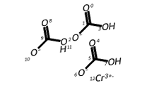 O=C([O-])O.O=C([O-])O.O=C([O-])O.[Cr+3]